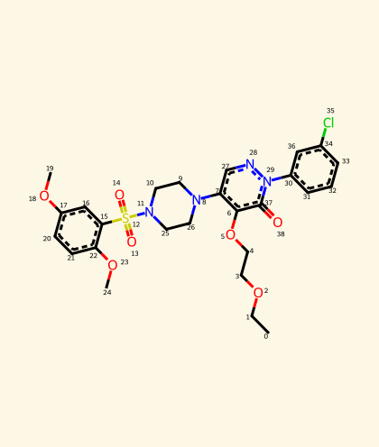 CCOCCOc1c(N2CCN(S(=O)(=O)c3cc(OC)ccc3OC)CC2)cnn(-c2cccc(Cl)c2)c1=O